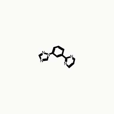 c1cnc(-c2cccc(-n3cncn3)c2)nc1